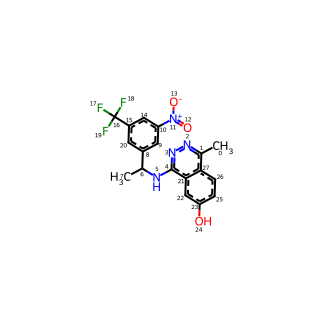 Cc1nnc(NC(C)c2cc([N+](=O)[O-])cc(C(F)(F)F)c2)c2cc(O)ccc12